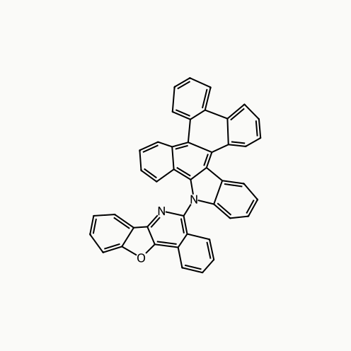 c1ccc2c(c1)oc1c3ccccc3c(-n3c4ccccc4c4c5c6ccccc6c6ccccc6c5c5ccccc5c43)nc21